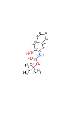 CC(C)(C)OC(=O)NC1CC2CCCCC2CC1O